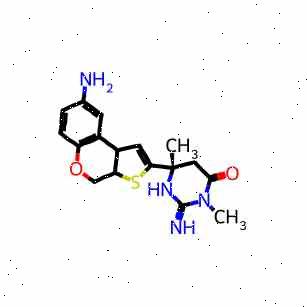 CN1C(=N)N[C@](C)(C2=CC3c4cc(N)ccc4OCC3S2)CC1=O